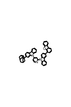 c1ccc2c(c1)oc1c(-c3ccc4c(c3)c3ccccc3n4-c3cc(-n4c5ccccc5c5ccc(C67CC8CC(CC(C8)C6)C7)cc54)ccn3)cccc12